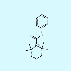 CC1(C)CCCC(C)(C)[N+]1C(=O)Oc1ccccc1